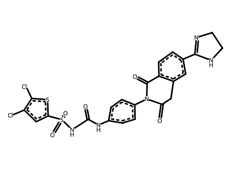 O=C(Nc1ccc(N2C(=O)Cc3cc(C4=NCCN4)ccc3C2=O)cc1)NS(=O)(=O)c1cc(Cl)c(Cl)s1